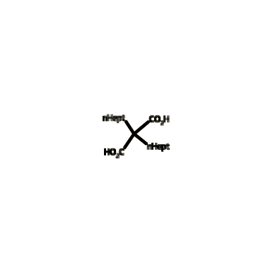 CCCCCCCC(CCCCCCC)(C(=O)O)C(=O)O